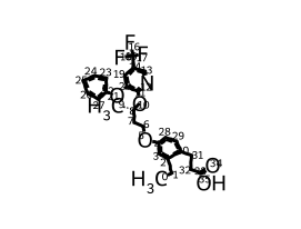 CCc1cc(OCC[C@H](C)Oc2ncc(C(F)(F)F)cc2Oc2ccccc2)ccc1CCC(=O)O